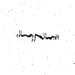 CCNCCCCNCC#CCNCCCCNCC